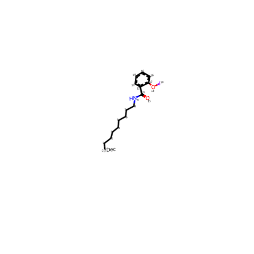 CCCCCCCCCCCCCCCCCCNC(=O)c1ccccc1OI